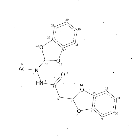 CC(=O)N(NC(=O)CC1Oc2ccccc2O1)C1Oc2ccccc2O1